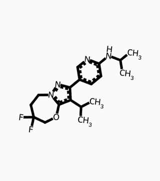 CC(C)Nc1ccc(-c2nn3c(c2C(C)C)OCC(F)(F)CC3)cn1